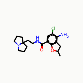 CC1Cc2c(N)c(Cl)cc(C(=O)NCCC34CCCN3CCC4)c2O1